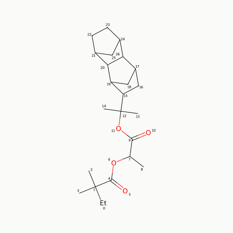 CCC(C)(C)C(=O)OC(C)C(=O)OC(C)(C)C1CC2CC1C1C3CCC(C3)C21